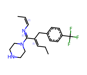 C\C=C/N=C(\C(=C\CC)Cc1ccc(C(F)(F)F)cc1)N1CCNCC1